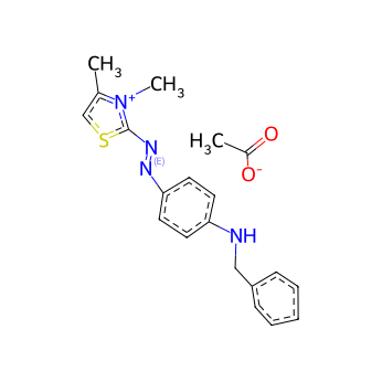 CC(=O)[O-].Cc1csc(/N=N/c2ccc(NCc3ccccc3)cc2)[n+]1C